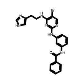 O=C(Nc1cccc(Nc2ncc(Br)c(NCCc3c[nH]cn3)n2)c1)c1ccccc1